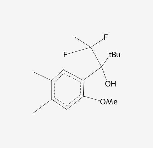 COc1cc(C)c(C)cc1C(O)(C(C)(C)C)C(C)(F)F